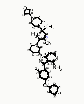 CC(C)(/C=C(/C#N)C(=O)N1CCCC(n2nc(-c3ccc(Oc4ccccc4)cc3F)c3c(N)ncnc32)C1)N1CCN(C2COC2)CC1